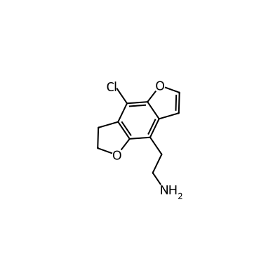 NCCc1c2c(c(Cl)c3occc13)CCO2